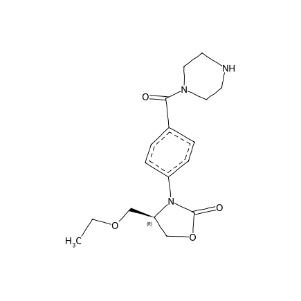 CCOC[C@@H]1COC(=O)N1c1ccc(C(=O)N2CCNCC2)cc1